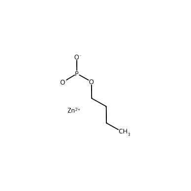 CCCCOP([O-])[O-].[Zn+2]